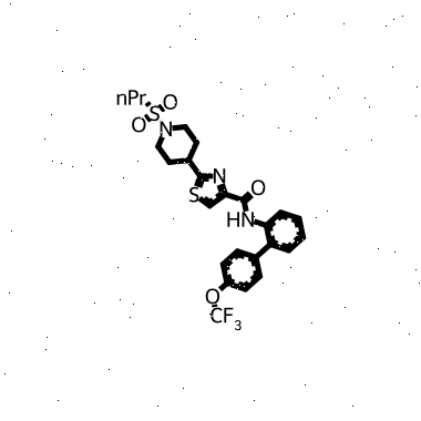 CCCS(=O)(=O)N1CCC(c2nc(C(=O)Nc3ccccc3-c3ccc(OC(F)(F)F)cc3)cs2)CC1